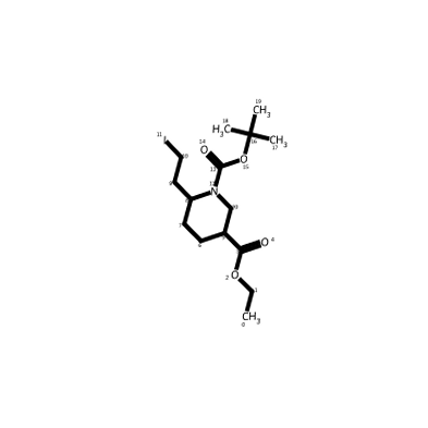 CCOC(=O)C1CCC(CCI)N(C(=O)OC(C)(C)C)C1